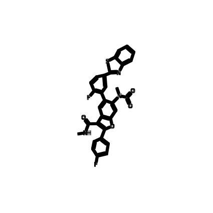 CNC(=O)c1c(-c2ccc(F)cc2)oc2cc(N(C)I(=O)=O)c(-c3cc(-c4nc5ccccc5s4)ccc3F)cc12